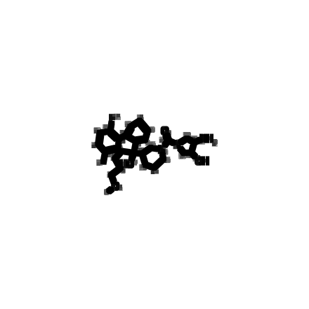 COCCCCC(O)(c1ccccc1-c1cc(C)ccc1F)C1CCCN(C(=O)N2CC(N)C(O)C2)C1